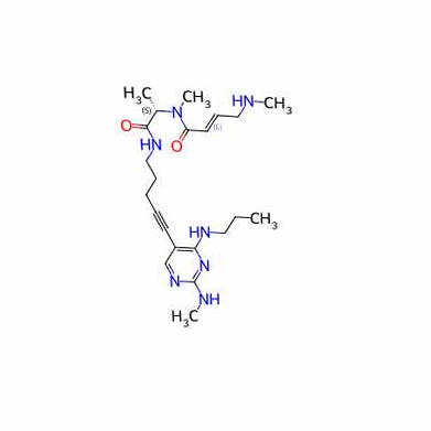 CCCNc1nc(NC)ncc1C#CCCCNC(=O)[C@H](C)N(C)C(=O)/C=C/CNC